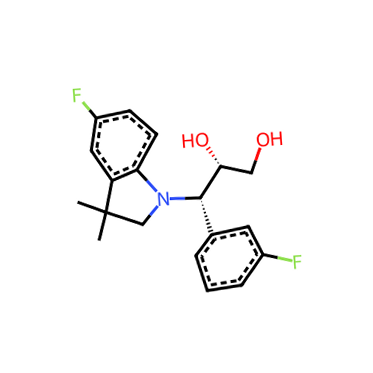 CC1(C)CN([C@@H](c2cccc(F)c2)[C@H](O)CO)c2ccc(F)cc21